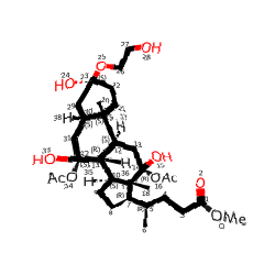 COC(=O)CC[C@@H](C)[C@H]1CC[C@H]2[C@H]3[C@H](C[C@@](O)(OC(C)=O)[C@]12C)[C@@]1(C)CC[C@](O)(OCCO)C[C@H]1C[C@]3(O)OC(C)=O